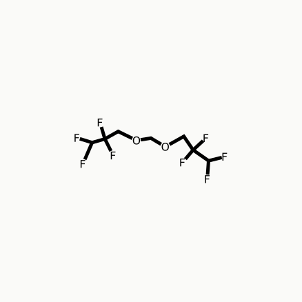 FC(F)C(F)(F)COCOCC(F)(F)C(F)F